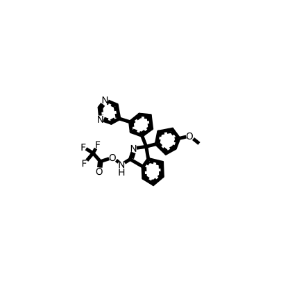 COc1ccc(C2(c3cccc(-c4cncnc4)c3)N=C(NOC(=O)C(F)(F)F)c3ccccc32)cc1